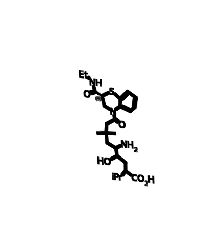 CCNC(=O)[C@@H]1CN(C(=O)CC(C)(C)CC(N)C(O)CC(C(=O)O)C(C)C)c2ccccc2S1